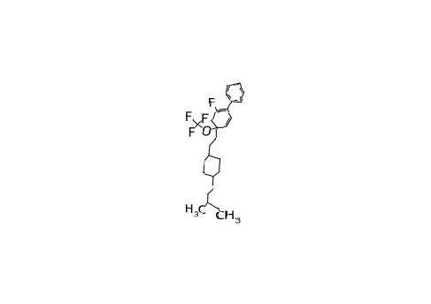 CCC(C)CCC1CCC(CCC2(OC(F)(F)F)C=CC(c3ccccc3)=C(F)C2)CC1